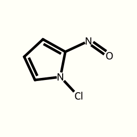 O=Nc1cccn1Cl